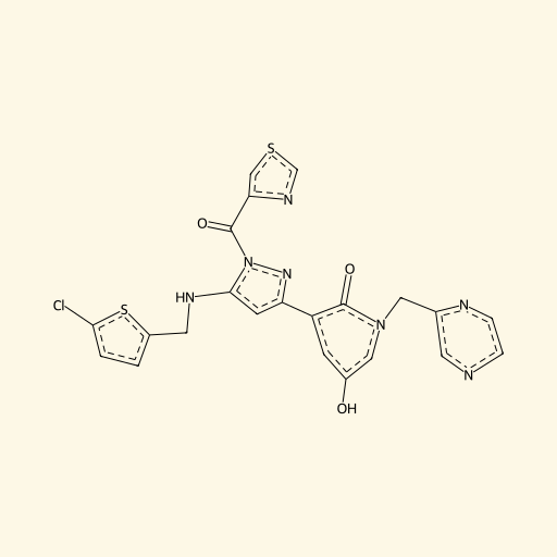 O=C(c1cscn1)n1nc(-c2cc(O)cn(Cc3cnccn3)c2=O)cc1NCc1ccc(Cl)s1